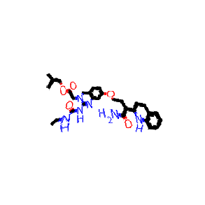 CCNC(=O)NC1=Nc2cc(OCCC(C(N)=O)C3CCc4ccccc4N3)ccc2CN1CC(=O)OCC(C)C